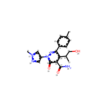 Cc1ccc(-c2nn(-c3cnn(C)c3)c(=O)c(C(N)=O)c2C(C)CO)cc1